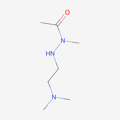 CC(=O)N(C)NCCN(C)C